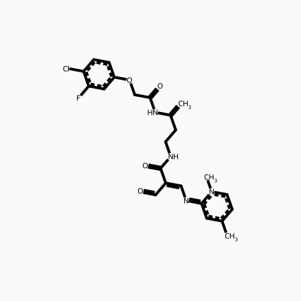 C=C(CCNC(=O)/C(C=O)=C/N=c1/cc(C)ccn1C)NC(=O)COc1ccc(Cl)c(F)c1